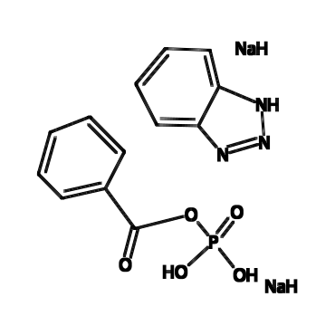 O=C(OP(=O)(O)O)c1ccccc1.[NaH].[NaH].c1ccc2[nH]nnc2c1